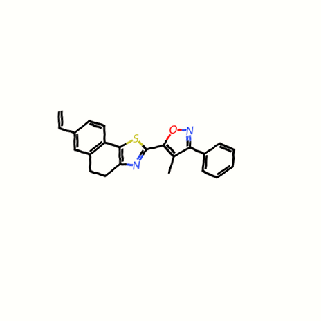 C=Cc1ccc2c(c1)CCc1nc(-c3onc(-c4ccccc4)c3C)sc1-2